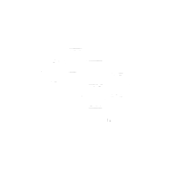 Cc1ccc2ccccc2c1-c1ccc(Br)c2ccccc12